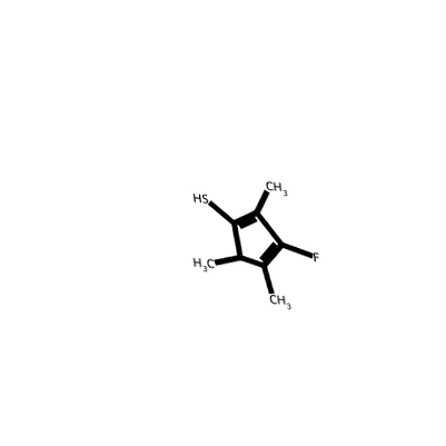 CC1=C(S)C(C)C(C)=C1F